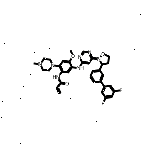 C=CC(=O)Nc1cc(Nc2cc(N3OCCC3c3cccc(-c4cc(F)cc(F)c4)c3)ncn2)c(OC)cc1N1CCN(C)CC1